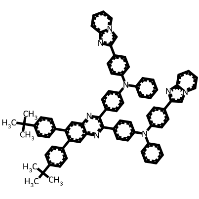 CC(C)(C)c1ccc(-c2cc3nc(-c4ccc(N(c5ccccc5)c5ccc(-c6cn7ccccc7n6)cc5)cc4)c(-c4ccc(N(c5ccccc5)c5ccc(-c6cn7ccccc7n6)cc5)cc4)nc3cc2-c2ccc(C(C)(C)C)cc2)cc1